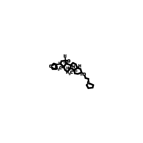 C[C@]12CC[C@H](OCCN3CCCC3)C[C@H]1CC[C@@H]1[C@@H]2CC[C@]2(C)[C@@H](c3ccoc3)C[C@@H]3O[C@]312